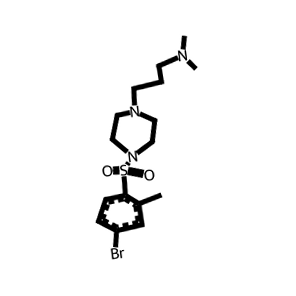 Cc1cc(Br)ccc1S(=O)(=O)N1CCN(CCCN(C)C)CC1